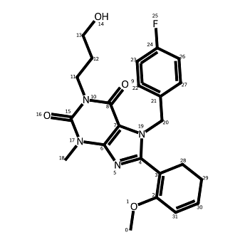 COC1=C(c2nc3c(c(=O)n(CCCO)c(=O)n3C)n2CC2=C=C=C(F)C=C2)CCC=C1